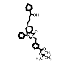 CC(C)(C)OC(=O)c1cccc(CN2CN(c3ccccc3)C3(CCN(CCCC(O)c4ccccc4)CC3)C2=O)c1